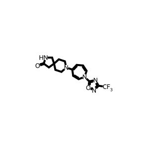 O=C1CC2(CCN(C3=CC=CN(c4nc(C(F)(F)F)no4)C=C3)CC2)CN1